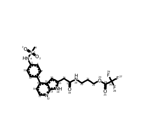 CS(=O)(=O)Nc1ccc(-c2ccnc3[nH]c(CC(=O)NCCCOC(=O)C(F)(F)F)cc23)cc1